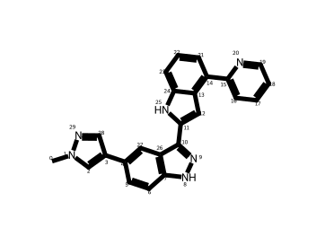 Cn1cc(-c2ccc3[nH]nc(-c4cc5c(-c6ccccn6)cccc5[nH]4)c3c2)cn1